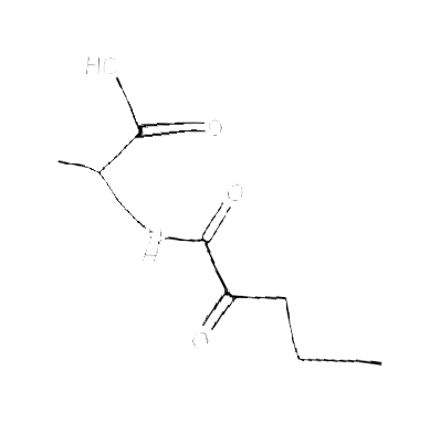 CCCC(=O)C(=O)NC(C)C(=O)O